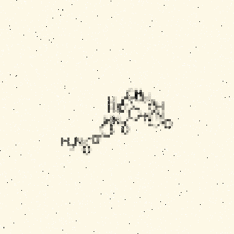 CC(C)(C)c1cc(N2CCC(=O)NC2=O)cc(C(=O)Nc2ccc(OCC(N)=O)cc2)c1O